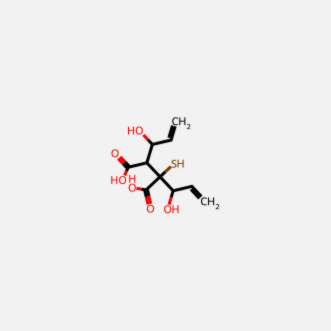 C=CC(O)C(C(=O)O)C(S)(C(=O)O)C(O)C=C